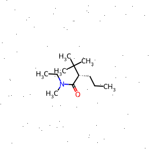 CCC[C@H](C(=O)N(C)CC)C(C)(C)C